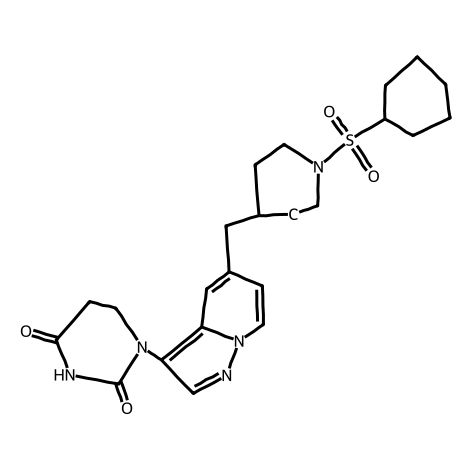 O=C1CCN(c2cnn3ccc(CC4CCN(S(=O)(=O)C5CCCCC5)CC4)cc23)C(=O)N1